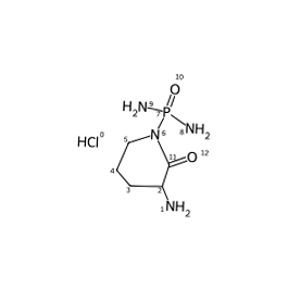 Cl.NC1CCCN(P(N)(N)=O)C1=O